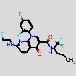 CCCC(NC(=O)c1cn(-c2ccc(F)cc2F)c2nc(NCCF)ccc2c1=O)C(F)(F)F